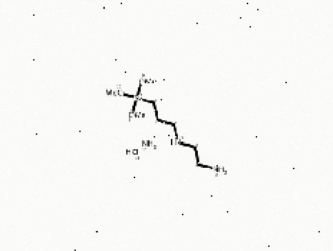 CO[Si](CCCNCCN)(OC)OC.Cl.N